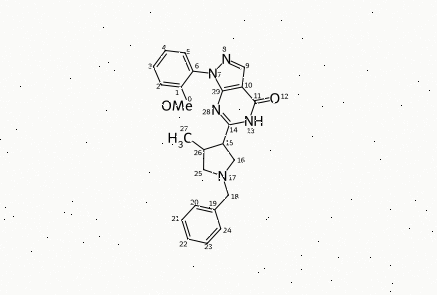 COc1ccccc1-n1ncc2c(=O)[nH]c(C3CN(Cc4ccccc4)CC3C)nc21